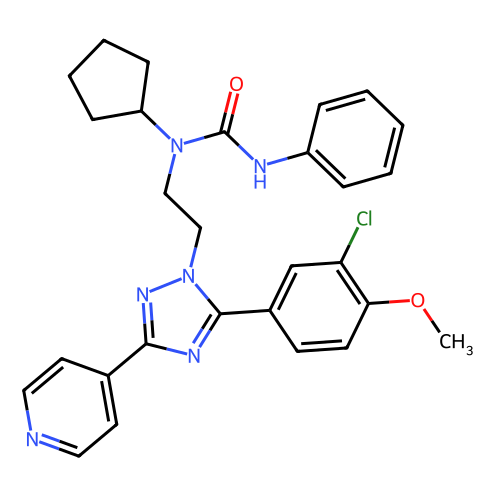 COc1ccc(-c2nc(-c3ccncc3)nn2CCN(C(=O)Nc2ccccc2)C2CCCC2)cc1Cl